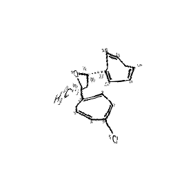 C[C@]1(c2ccc(Cl)cc2)O[C@@H]1c1ccccc1